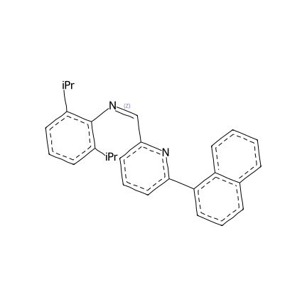 CC(C)c1cccc(C(C)C)c1/N=C\c1cccc(-c2cccc3ccccc23)n1